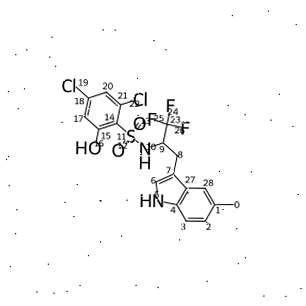 Cc1ccc2[nH]cc(CC(NS(=O)(=O)c3c(O)cc(Cl)cc3Cl)C(F)(F)F)c2c1